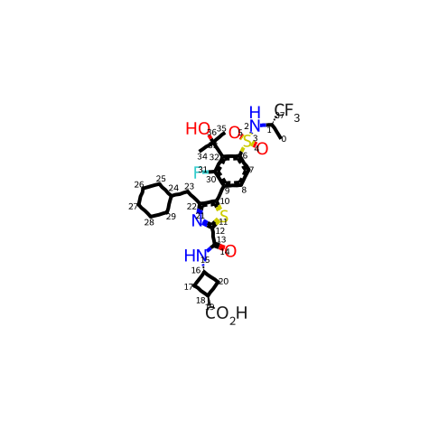 C[C@H](NS(=O)(=O)c1ccc(-c2sc(C(=O)N[C@H]3C[C@H](C(=O)O)C3)nc2CC2CCCCC2)c(F)c1C(C)(C)O)C(F)(F)F